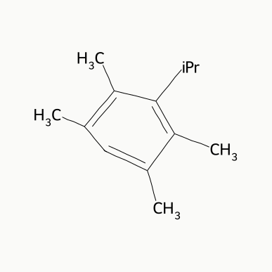 Cc1cc(C)c(C)c(C(C)C)c1C